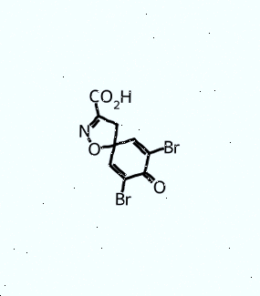 O=C(O)C1=NOC2(C=C(Br)C(=O)C(Br)=C2)C1